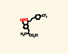 CCOC(=O)C(C)Cc1ccc(CO)c(C(=O)CCc2ccc(C(F)(F)F)cc2)c1